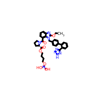 CCOc1nc2cccc(C(=O)N3CCC[C@H]3C(=O)OCCCCON(O)O)c2n1Cc1ccc(-c2ccccc2-c2nn[nH]n2)cc1